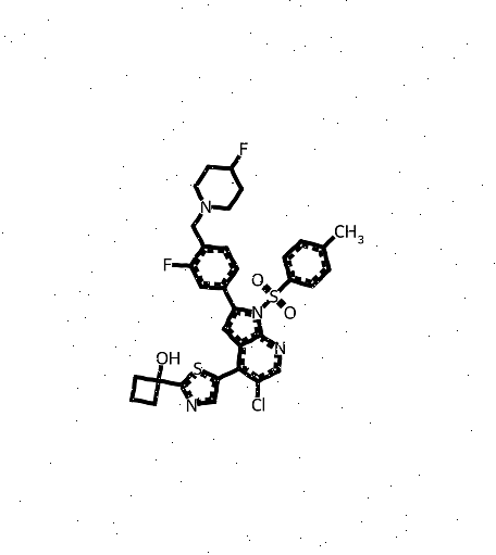 Cc1ccc(S(=O)(=O)n2c(-c3ccc(CN4CCC(F)CC4)c(F)c3)cc3c(-c4cnc(C5(O)CCC5)s4)c(Cl)cnc32)cc1